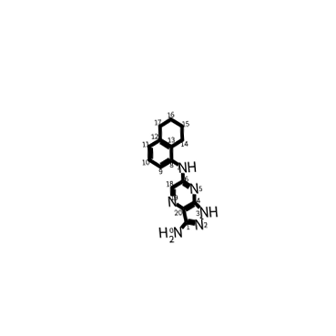 Nc1n[nH]c2nc(Nc3cccc4c3CCCC4)cnc12